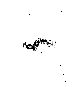 [CH3][SnH]([CH3])[CH2]CCCOc1ccc(-n2cc(C(F)(F)F)ccc2=O)cc1